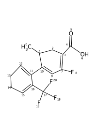 CC1CC(C(=O)O)=C(F)C=C1C1=CCCC=C1C(F)(F)F